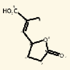 CC(=CC1CCC(=O)O1)C(=O)O